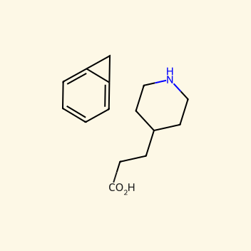 O=C(O)CCC1CCNCC1.c1ccc2c(c1)C2